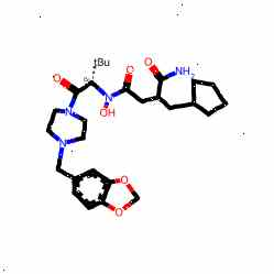 CC(C)(C)[C@@H](C(=O)N1CCN(Cc2ccc3c(c2)OCO3)CC1)N(O)C(=O)CC(CC1CCCC1)C(N)=O